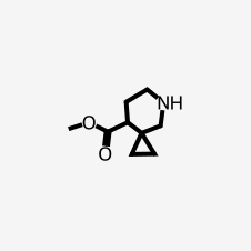 COC(=O)C1CCNCC12CC2